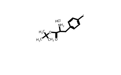 CC(C)(C)OC(=O)C(N)Cc1ccc(I)cc1.Cl